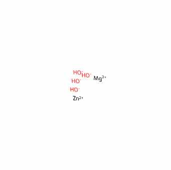 [Mg+2].[OH-].[OH-].[OH-].[OH-].[Zn+2]